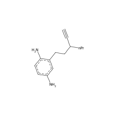 C#CC(CCC)CCc1cc(N)ccc1N